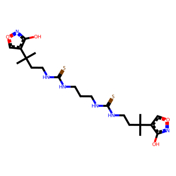 CC(C)(CCNC(=S)NCCCNC(=S)NCCC(C)(C)c1conc1O)c1conc1O